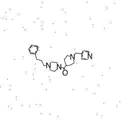 O=C(C1CCN(Cc2ccncc2)CC1)N1CCN(CCCc2ccccc2)CC1